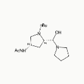 CCCCN1C[C@@H](NC(C)=O)C[C@H]1C(O)N1CCCC1